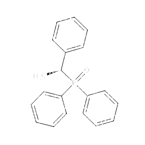 C[C@@H](c1ccccc1)P(=O)(c1ccccc1)c1ccccc1